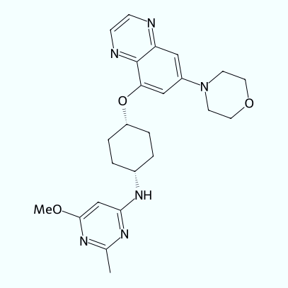 COc1cc(N[C@H]2CC[C@@H](Oc3cc(N4CCOCC4)cc4nccnc34)CC2)nc(C)n1